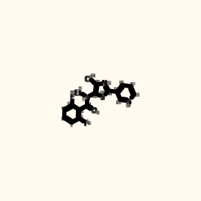 CCN(C(=O)c1c(F)cccc1F)c1sc(-c2cccnc2)nc1Cl